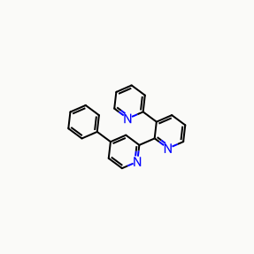 c1ccc(-c2ccnc(-c3ncccc3-c3ccccn3)c2)cc1